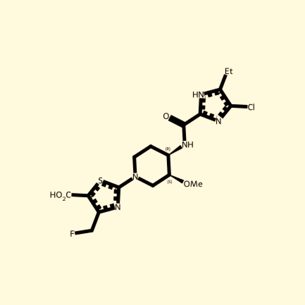 CCc1[nH]c(C(=O)N[C@@H]2CCN(c3nc(CF)c(C(=O)O)s3)C[C@@H]2OC)nc1Cl